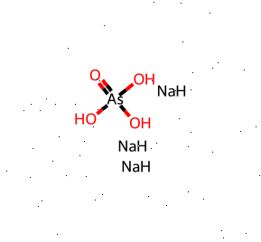 O=[As](O)(O)O.[NaH].[NaH].[NaH]